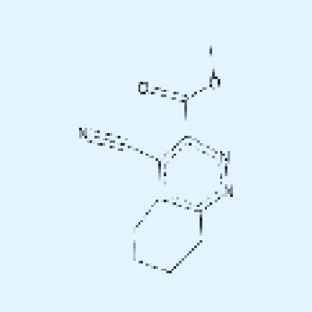 COC(=O)c1nnc2c(c1C#N)CCCC2